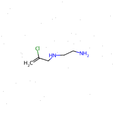 C=C(Cl)CNCCN